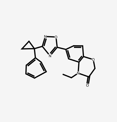 CCN1C(=O)COc2ccc(-c3nc(C4(c5ccccc5)CC4)no3)cc21